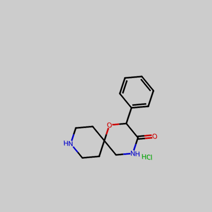 Cl.O=C1NCC2(CCNCC2)OC1c1ccccc1